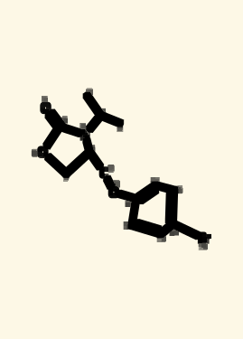 CC(C)N1C(=O)OCC1COc1ccc(Br)cc1